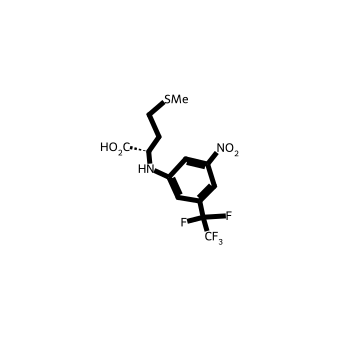 CSCC[C@H](Nc1cc([N+](=O)[O-])cc(C(F)(F)C(F)(F)F)c1)C(=O)O